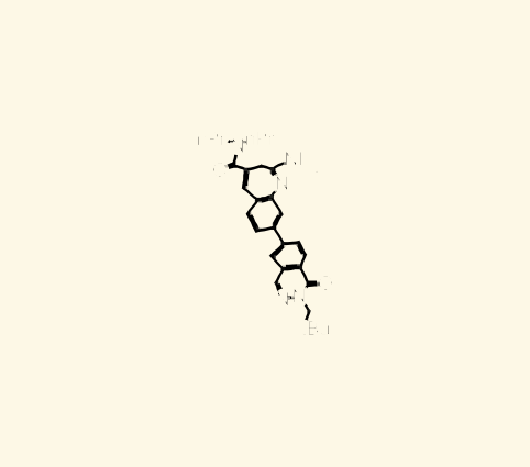 CCCN(CCC)C(=O)C1=Cc2ccc(-c3ccc4c(=O)n(CC(C)(C)C)ncc4c3)cc2N=C(N)C1